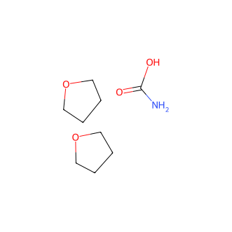 C1CCOC1.C1CCOC1.NC(=O)O